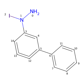 NN(I)C1=CC(c2ccccc2)=C=C=C1